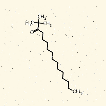 CCCCCCCCCCCCCC(=O)C(C)(C)C